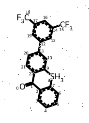 O=C1c2ccccc2[SH3]c2cc(-c3cc(C(F)(F)F)cc(C(F)(F)F)c3)ccc21